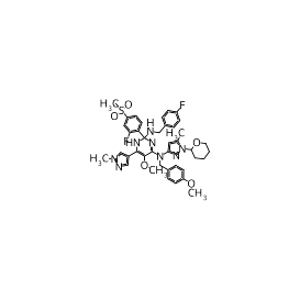 COC1=C(c2cnn(C)c2)NC(NCc2ccc(F)cc2)(c2ccc(S(C)(=O)=O)cc2F)N=C1N(Cc1ccc(OC)cc1)c1cc(C)n(C2CCCCO2)n1